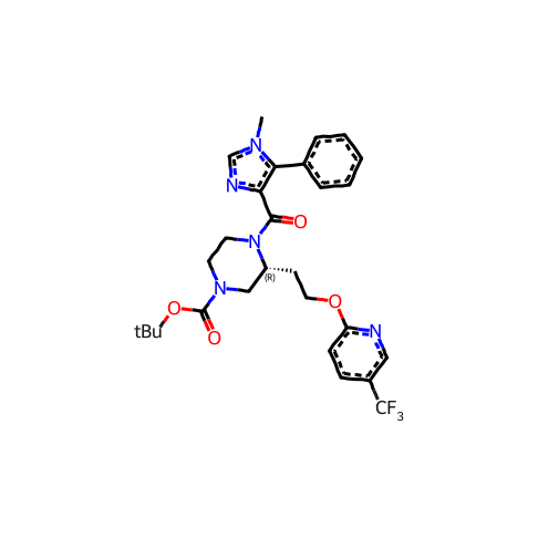 Cn1cnc(C(=O)N2CCN(C(=O)OC(C)(C)C)C[C@H]2CCOc2ccc(C(F)(F)F)cn2)c1-c1ccccc1